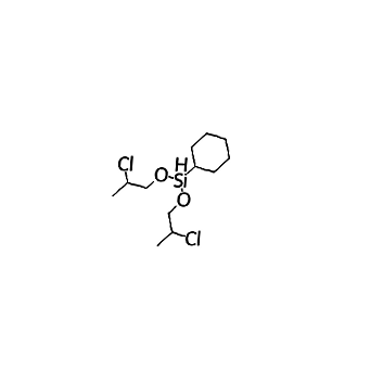 CC(Cl)CO[SiH](OCC(C)Cl)C1CCCCC1